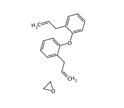 C1CO1.C=CCc1ccccc1Oc1ccccc1CC=C